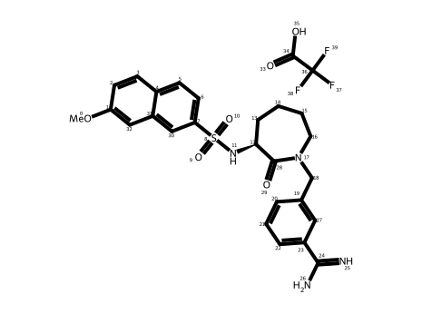 COc1ccc2ccc(S(=O)(=O)N[C@H]3CCCCN(Cc4cccc(C(=N)N)c4)C3=O)cc2c1.O=C(O)C(F)(F)F